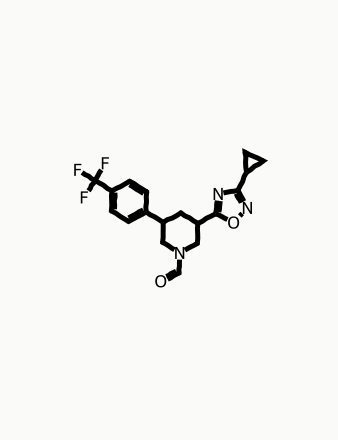 O=CN1CC(c2ccc(C(F)(F)F)cc2)CC(c2nc(C3CC3)no2)C1